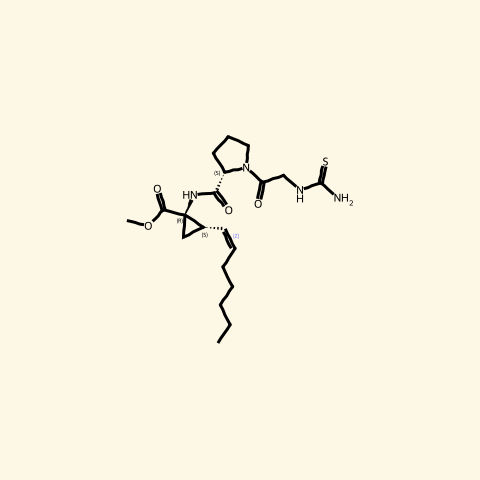 CCCCC/C=C\[C@@H]1C[C@]1(NC(=O)[C@@H]1CCCN1C(=O)CNC(N)=S)C(=O)OC